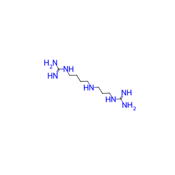 N=C(N)NCCCCNCCCNC(=N)N